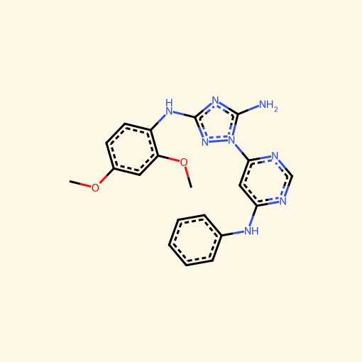 COc1ccc(Nc2nc(N)n(-c3cc(Nc4ccccc4)ncn3)n2)c(OC)c1